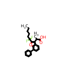 CC[CH]CCC(F)(F)c1oc2c(-c3ccccc3)cccc2c1C(C)C(=O)O